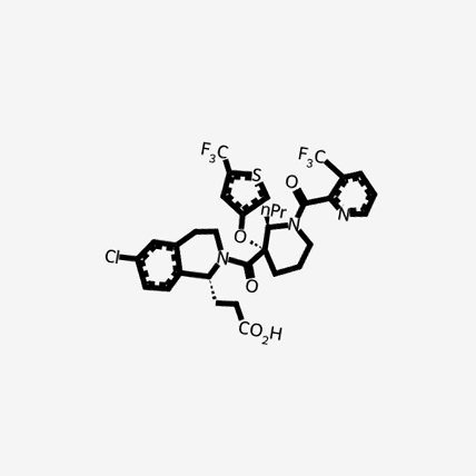 CCC[C@H]1N(C(=O)c2ncccc2C(F)(F)F)CCC[C@@]1(Oc1csc(C(F)(F)F)c1)C(=O)N1CCc2cc(Cl)ccc2[C@H]1CCC(=O)O